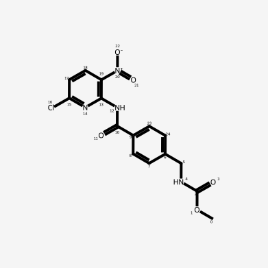 COC(=O)NCc1ccc(C(=O)Nc2nc(Cl)ccc2[N+](=O)[O-])cc1